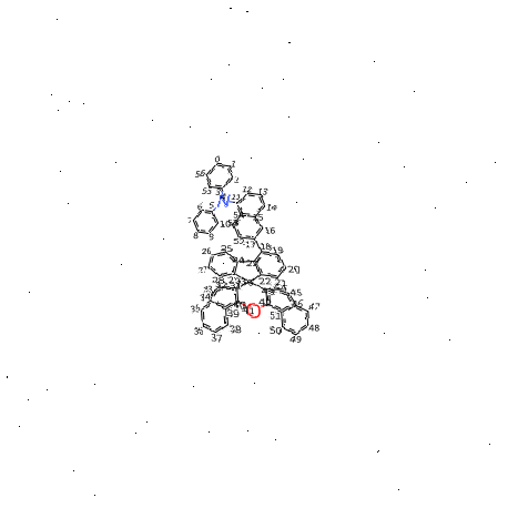 c1ccc(N(c2ccccc2)c2cccc3cc(-c4cccc5c4-c4ccccc4C54c5ccc6ccccc6c5Oc5c4ccc4ccccc54)ccc23)cc1